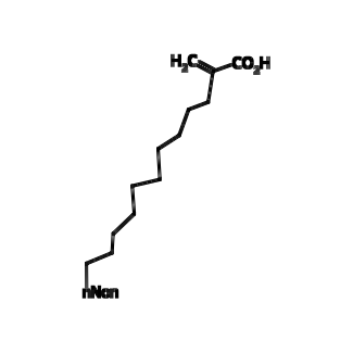 C=C(CCCCCCCCCCCCCCCCCCC)C(=O)O